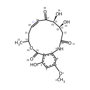 COc1cc(O)c2c(c1)NC(=O)C[C@H](O)[C@H](O)C(=O)/C=C\CC(C)OC2=O